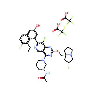 CCc1c(F)ccc2cc(O)cc(-c3ncc4c(N5CCC[C@@H](NC(C)=O)C5)nc(OC[C@@]56CCCN5C[C@H](F)C6)nc4c3F)c12.O=C(O)C(F)(F)F.O=C(O)C(F)(F)F